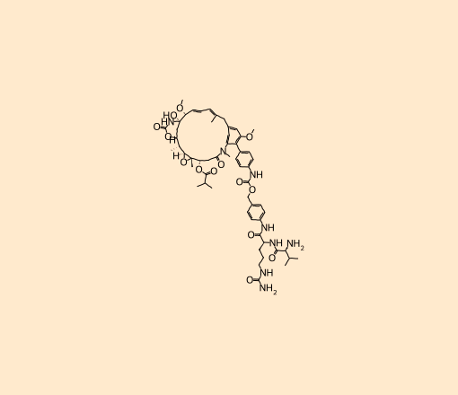 COc1cc2cc(c1-c1ccc(NC(=O)OCc3ccc(NC(=O)[C@H](CCCNC(N)=O)NC(=O)[C@@H](N)C(C)C)cc3)cc1)N(C)C(=O)C[C@H](OC(=O)C(C)C)[C@]1(C)O[C@H]1[C@H](C)[C@@H]1C[C@@](O)(NC(=O)O1)[C@H](OC)/C=C/C=C(\C)C2